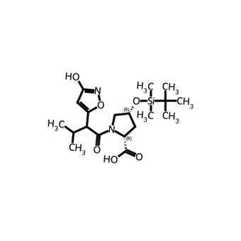 CC(C)C(C(=O)N1C[C@H](O[Si](C)(C)C(C)(C)C)C[C@@H]1C(=O)O)c1cc(O)no1